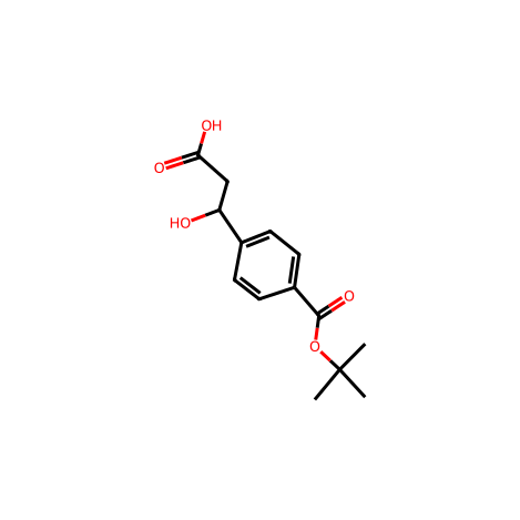 CC(C)(C)OC(=O)c1ccc(C(O)CC(=O)O)cc1